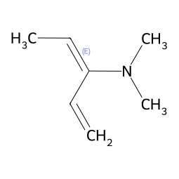 C=C/C(=C\C)N(C)C